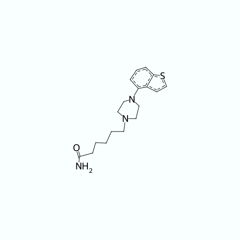 NC(=O)CCCCCN1CCN(c2cccc3sccc23)CC1